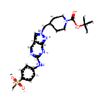 CC(C)(C)OC(=O)N1CCC(Cn2cc3cnc(Nc4ccc(S(C)(=O)=O)cc4)nc3n2)CC1